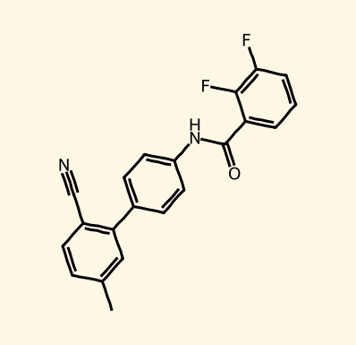 Cc1ccc(C#N)c(-c2ccc(NC(=O)c3cccc(F)c3F)cc2)c1